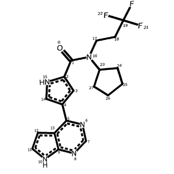 O=C(c1cc(-c2ncnc3[nH]ccc23)c[nH]1)N(CCC(F)(F)F)C1CCCC1